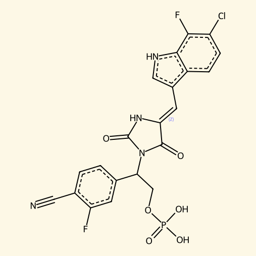 N#Cc1ccc(C(COP(=O)(O)O)N2C(=O)N/C(=C\c3c[nH]c4c(F)c(Cl)ccc34)C2=O)cc1F